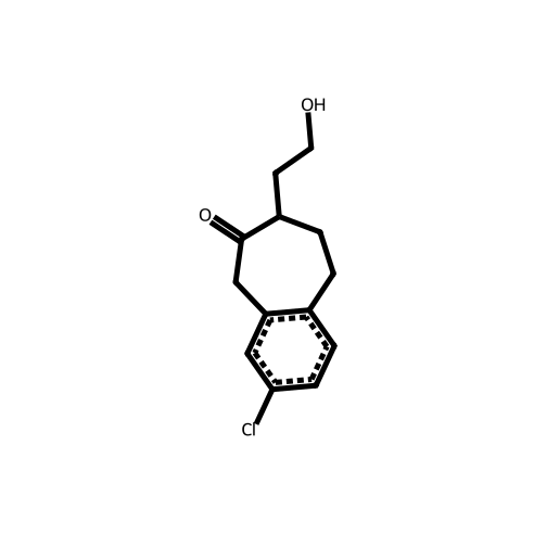 O=C1Cc2cc(Cl)ccc2CCC1CCO